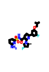 CC(C)COc1cc(F)cc(-c2ccc(C(=O)NS(=O)(=O)c3cccc(N)n3)c(N3C[C@H](F)C[C@H]3C)n2)c1